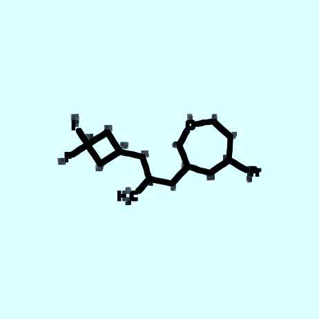 CC(CC1COCCC(C(C)C)C1)CC1CC(F)(F)C1